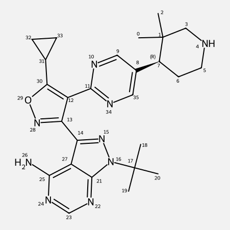 CC1(C)CNCC[C@H]1c1cnc(-c2c(-c3nn(C(C)(C)C)c4ncnc(N)c34)noc2C2CC2)nc1